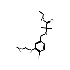 CCOC(=O)C(C)(C)SCc1ccc(F)c(OCOC)c1